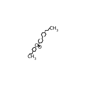 CCCC[C@H]1CC[C@H]([C@H]2CC[C@H](C(=O)OC3CCC(CCC)CC3)CC2)CC1